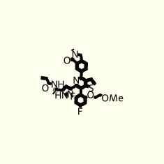 C=CC(=O)N[C@H](C)c1cc(-c2nc(-c3ccc4c(c3)C(=O)N(C)C4)c3ccsc3c2-c2c(F)cc(F)cc2OCCOC)n[nH]1